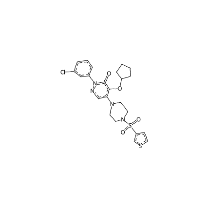 O=c1c(OC2CCCC2)c(N2CCN(S(=O)(=O)c3ccsc3)CC2)cnn1-c1cccc(Cl)c1